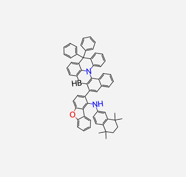 CC1(C)CCC(C)(C)c2cc(Nc3c(-c4cc5ccccc5c5c4Bc4cccc6c4N5c4ccccc4C6(c4ccccc4)c4ccccc4)ccc4oc5ccccc5c34)ccc21